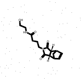 O=C(CCCN1C(=O)[C@@H]2C3C=CC(C3)[C@@H]2C1=O)NCCO